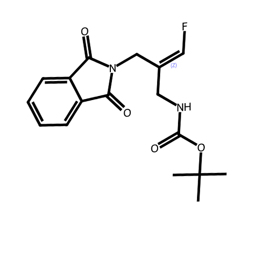 CC(C)(C)OC(=O)NC/C(=C/F)CN1C(=O)c2ccccc2C1=O